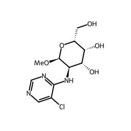 CO[C@H]1O[C@H](CO)[C@H](O)[C@H](O)[C@H]1Nc1ncncc1Cl